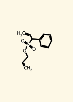 C=CCOS(=O)(=O)C(C=C)c1ccccc1